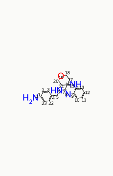 Nc1ccc(CNC2=Nc3ccccc3NC23CCOCC3)cc1